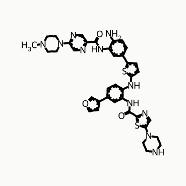 CN1CCN(c2cnc(C(=O)Nc3cc(-c4ccc(Nc5ccc(-c6ccoc6)cc5NC(=O)c5ncc(N6CCNCC6)s5)s4)ccc3N)cn2)CC1